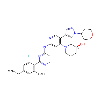 CNCc1cc(F)c(-c2nccc(Nc3cc(N4CCC[C@H](O)C4)c(-c4cnn(C5CCOCC5)c4)cn3)n2)c(OC)c1